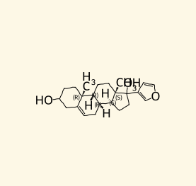 C[C@]12CCC(O)CC1=CC[C@@H]1[C@H]2CC[C@@]2(C)[C@H]1CCC2(O)c1ccoc1